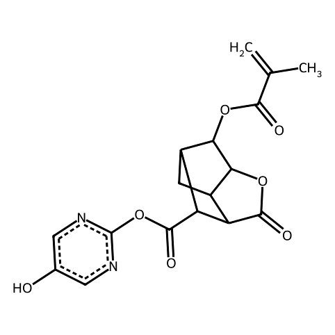 C=C(C)C(=O)OC1C2CC3C1OC(=O)C3C2C(=O)Oc1ncc(O)cn1